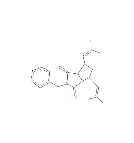 CC(C)=CC1CC(C=C(C)C)C2C(=O)N(Cc3ccccc3)C(=O)C12